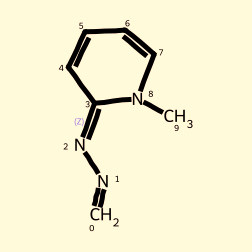 C=N/N=c1/ccccn1C